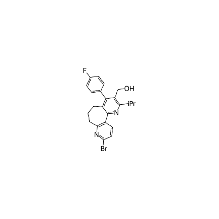 CC(C)c1nc2c(c(-c3ccc(F)cc3)c1CO)CCCc1nc(Br)ccc1-2